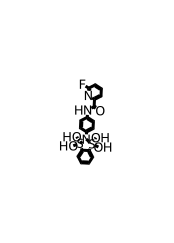 O=C(Nc1ccc(N2S(O)(O)c3ccccc3S2(O)O)cc1)c1cccc(F)n1